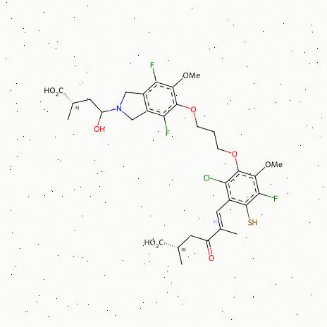 COc1c(F)c2c(c(F)c1OCCCOc1c(Cl)c(/C=C(\C)C(=O)C[C@H](C)C(=O)O)c(S)c(F)c1OC)CN(C(O)C[C@H](C)C(=O)O)C2